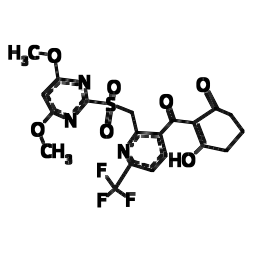 COc1cc(OC)nc(S(=O)(=O)Cc2nc(C(F)(F)F)ccc2C(=O)C2=C(O)CCCC2=O)n1